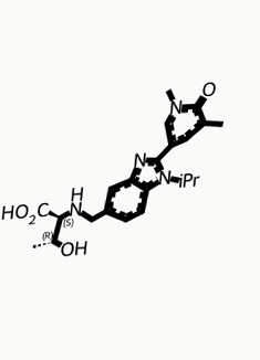 Cc1cc(-c2nc3cc(CN[C@H](C(=O)O)[C@@H](C)O)ccc3n2C(C)C)cn(C)c1=O